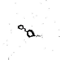 [AsH2]c1ccc(/C=C/c2ccccc2)cc1